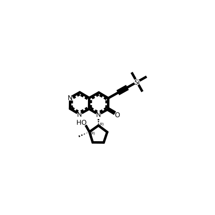 C[C@@]1(O)CCC[C@H]1n1c(=O)c(C#C[Si](C)(C)C)cc2cncnc21